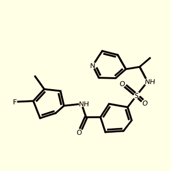 Cc1cc(NC(=O)c2cccc(S(=O)(=O)NC(C)c3ccncc3)c2)ccc1F